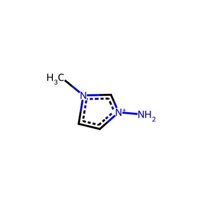 Cn1cc[n+](N)c1